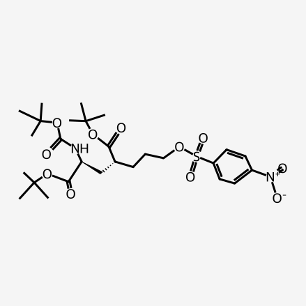 CC(C)(C)OC(=O)N[C@@H](C[C@@H](CCCOS(=O)(=O)c1ccc([N+](=O)[O-])cc1)C(=O)OC(C)(C)C)C(=O)OC(C)(C)C